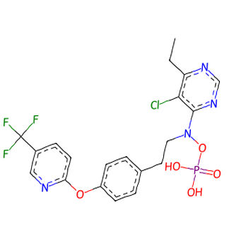 CCc1ncnc(N(CCc2ccc(Oc3ccc(C(F)(F)F)cn3)cc2)OP(=O)(O)O)c1Cl